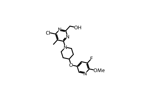 COc1ncc(OC2CCN(c3nc(CO)nc(Cl)c3C)CC2)cc1F